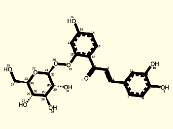 O=C(C=Cc1ccc(O)c(O)c1)c1ccc(O)cc1OO[C@@H]1O[C@H](CO)[C@@H](O)[C@H](O)[C@H]1O